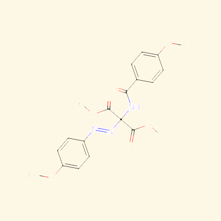 COC(=O)C(N=Nc1ccc(OC)cc1)(NC(=O)c1ccc(OC)cc1)C(=O)OC